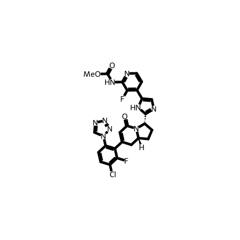 COC(=O)Nc1nccc(-c2cnc([C@@H]3CC[C@@H]4CC(c5c(-n6cnnn6)ccc(Cl)c5F)=CC(=O)N43)[nH]2)c1F